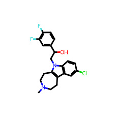 CN1CCc2c(n(CC(O)c3ccc(F)c(F)c3)c3ccc(Cl)cc23)CC1